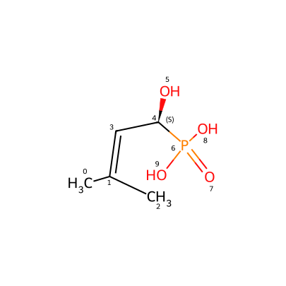 CC(C)=C[C@@H](O)P(=O)(O)O